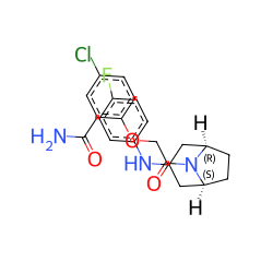 NC(=O)c1cc(Cl)ccc1OCC(=O)N1[C@@H]2CC[C@H]1CC(Nc1ccc(F)cc1)C2